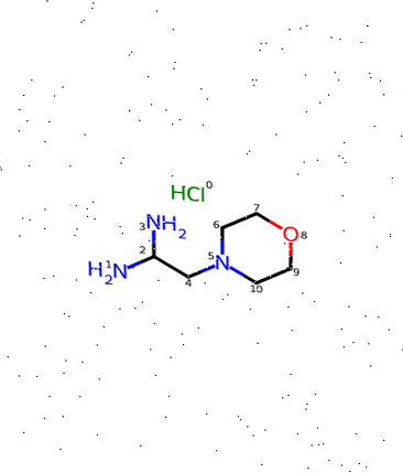 Cl.NC(N)CN1CCOCC1